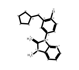 C=C1N(C)c2cccnc2N1c1ccc(CC)c(CC2CCCC2)c1